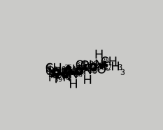 COc1ccc(-c2cnc3c(Nc4ccc(C(=O)N[C@H]5CC[C@@H](NC(=O)C(C)C)CC5)c(C)c4)nccn23)c(F)c1F